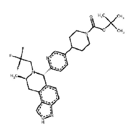 C[C@@H]1Cc2c(ccc3n[nH]cc23)[C@@H](c2ccc(C3CCN(C(=O)OC(C)(C)C)CC3)cn2)N1CC(F)(F)F